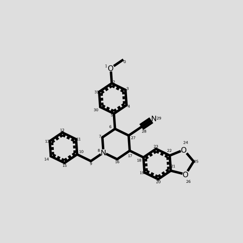 COc1ccc(C2CN(Cc3ccccc3)CC(c3ccc4c(c3)OCO4)C2C#N)cc1